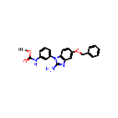 CC(C)(C)OC(=O)Nc1cccc(-n2c(N)nc3cc(OCc4ccccc4)ccc32)c1